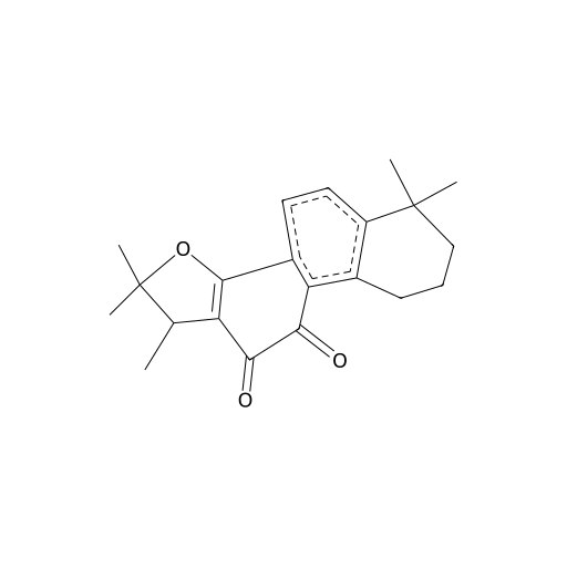 CC1C2=C(OC1(C)C)c1ccc3c(c1C(=O)C2=O)CCCC3(C)C